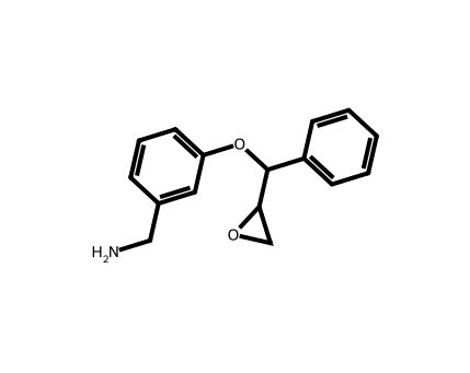 NCc1cccc(OC(c2ccccc2)C2CO2)c1